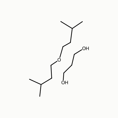 CC(C)CCOCCC(C)C.OCCCO